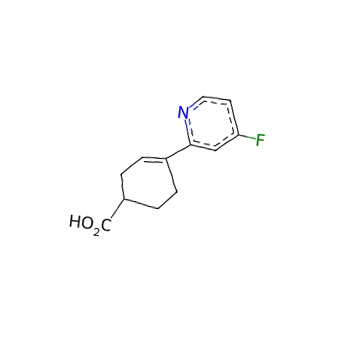 O=C(O)C1CC=C(c2cc(F)ccn2)CC1